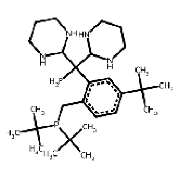 CC(C)(C)c1ccc(CP(C(C)(C)C)C(C)(C)C)c(C(P)(C2NCCCN2)C2NCCCN2)c1